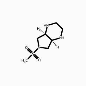 CS(=O)(=O)N1C[C@@H]2NCCN[C@@H]2C1